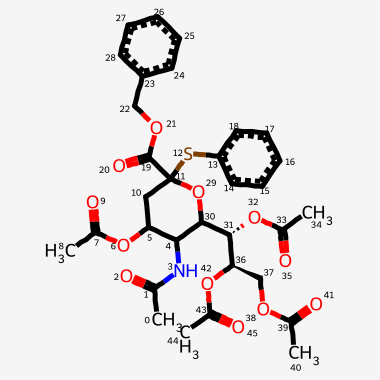 CC(=O)NC1C(OC(C)=O)CC(Sc2ccccc2)(C(=O)OCc2ccccc2)OC1[C@H](OC(C)=O)[C@@H](COC(C)=O)OC(C)=O